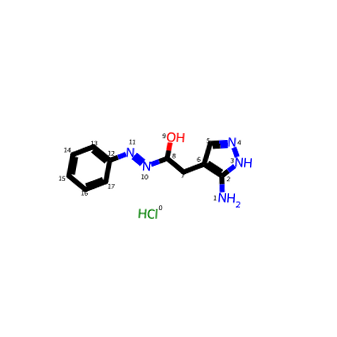 Cl.Nc1[nH]ncc1CC(O)N=Nc1ccccc1